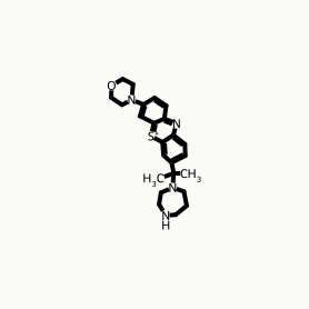 CC(C)(c1ccc2nc3ccc(N4CCOCC4)cc3[s+]c2c1)N1CCCNCC1